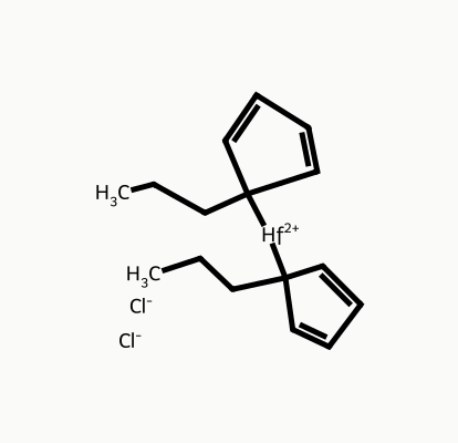 CCC[C]1([Hf+2][C]2(CCC)C=CC=C2)C=CC=C1.[Cl-].[Cl-]